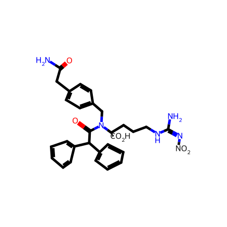 NC(=O)Cc1ccc(CN(C(=O)C(c2ccccc2)c2ccccc2)[C@H](CCCN/C(N)=N\[N+](=O)[O-])C(=O)O)cc1